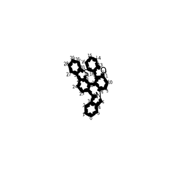 c1ccc2c(c1)cn1c3ccc4oc5ccccc5c4c3c3c(ccc4c5ccccc5sc43)c21